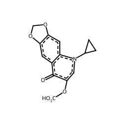 O=C(O)Oc1cn(C2CC2)c2cc3c(cc2c1=O)OCO3